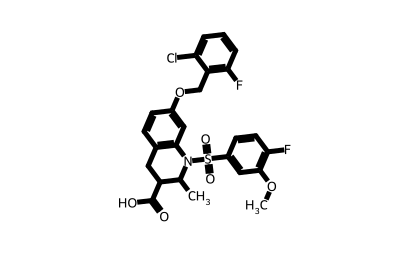 COc1cc(S(=O)(=O)N2c3cc(OCc4c(F)cccc4Cl)ccc3CC(C(=O)O)C2C)ccc1F